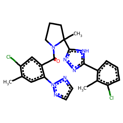 Cc1cc(-n2nccn2)c(C(=O)N2CCCC2(C)c2nnc(-c3cccc(Cl)c3C)[nH]2)cc1Cl